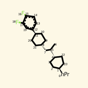 CCC[C@H]1CC[C@H](C(C)C[C@H]2CC[C@H](c3ccc(F)c(F)c3)CC2)CC1